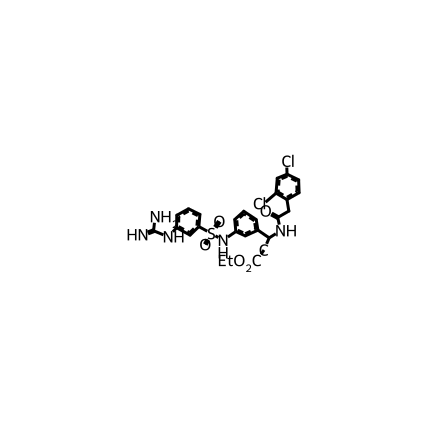 CCOC(=O)CC(NC(=O)Cc1ccc(Cl)cc1Cl)c1cccc(NS(=O)(=O)c2cccc(NC(=N)N)c2)c1